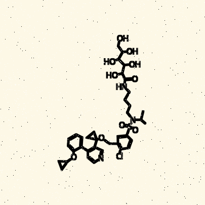 CC(C)N(CCCCNC(=O)C(O)C(O)C(O)C(O)CO)S(=O)(=O)c1ccc(Cl)c(COC2(c3cnccc3-c3ccccc3OC3CC3)CC2)c1